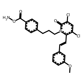 COc1cccc(/C=C/c2c(Cl)cc(Cl)c(=O)n2CCCc2ccc(C(=O)ON)cc2)c1